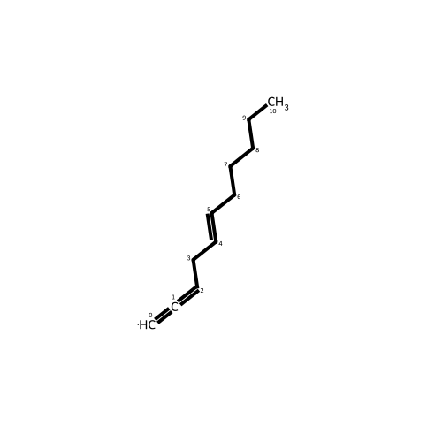 [CH]=C=CCC=CCCCCC